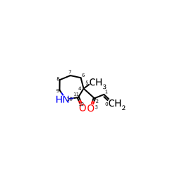 C=CC(=O)C1(C)CCCCNC1=O